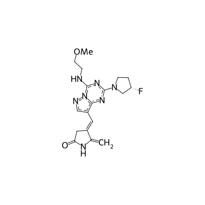 C=C1NC(=O)C/C1=C\c1cnn2c(NCCOC)nc(N3CC[C@H](F)C3)nc12